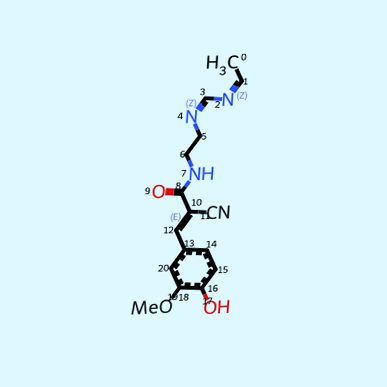 C/C=N\C=N/CCNC(=O)/C(C#N)=C/c1ccc(O)c(OC)c1